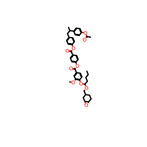 CCCCC(OCC1CCC2OC2C1)Oc1ccc(C(=O)Oc2ccc(C(=O)Oc3ccc(CC(C)c4ccc(OC(C)=O)cc4)cc3)cc2)cc1OC